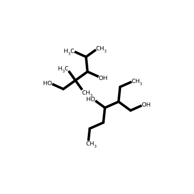 CC(C)C(O)C(C)(C)CO.CCCC(O)C(CC)CO